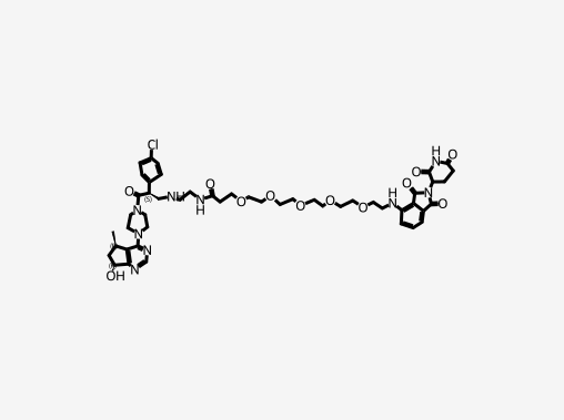 C[C@@H]1C[C@@H](O)c2ncnc(N3CCN(C(=O)[C@H](CNCCNC(=O)CCOCCOCCOCCOCCOCCNc4cccc5c4C(=O)N(C4CCC(=O)NC4=O)C5=O)c4ccc(Cl)cc4)CC3)c21